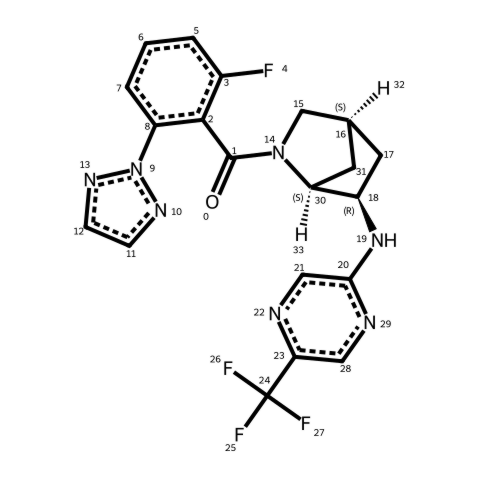 O=C(c1c(F)cccc1-n1nccn1)N1C[C@H]2C[C@@H](Nc3cnc(C(F)(F)F)cn3)[C@@H]1C2